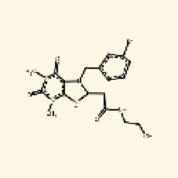 Cn1c2c(c(=O)n(C)c1=O)N(Cc1cccc(Br)c1)C(CC(=O)NCCO)N2